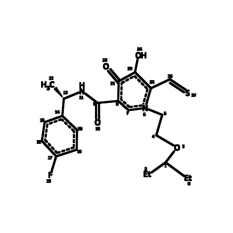 CCC(CC)OCCn1cc(C(=O)N[C@@H](C)c2ccc(F)cc2)c(=O)c(O)c1C=S